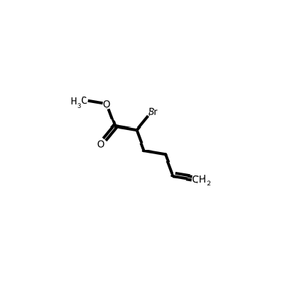 C=CCCC(Br)C(=O)OC